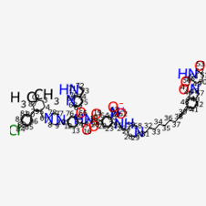 CC1(C)CCC(CN2CCN(c3ccc(C(=O)NS(=O)(=O)c4ccc(NCC5CCN(CCCCCCCC#Cc6ccc7c(c6)C(=O)N(C6CCC(=O)NC6=O)C7)CC5)c([N+](=O)[O-])c4)c(Oc4cnc5[nH]ccc5c4)c3)CC2)=C(c2ccc(Cl)cc2)C1